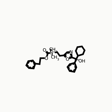 C[N+](C)(CCc1cnc([C@](O)(c2ccccc2)C2CCCCC2)o1)C(=O)OCCc1ccccc1